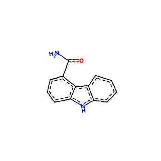 NC(=O)c1cccc2[nH]c3ccc[c]c3c12